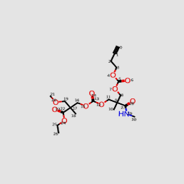 C#CCCOC(=O)OCC(C)(COC(=O)OCC(C)(COC)C(=O)OCC)C(=O)NC